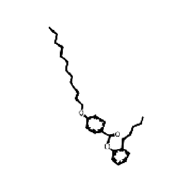 CCCCCCCCCCCCOc1ccc(C(=O)Oc2ccccc2CCCCC)cc1